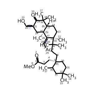 COC(=O)CC[C@]1(CCC(C)(C)[C@]2(C)CC[C@H]3C(C)(C)C(=O)/C(=C\O)C[C@]3(C)/C2=C/C(C)=O)CCC(C)(C)CC1C